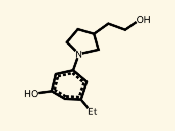 CCc1cc(O)cc(N2CCC(CCO)C2)c1